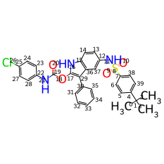 CC(C)(C)c1ccc(S(=O)(=O)Nc2ccc3[nH]c(OC(=O)Nc4ccc(Cl)cc4)c(-c4ccccc4)c3c2)cc1